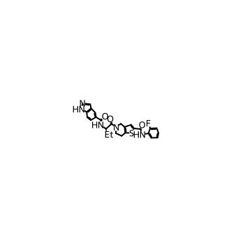 CC[C@@H](NC(=O)c1ccc2[nH]ncc2c1)C(=O)N1CCc2sc(C(=O)Nc3ccccc3F)cc2C1